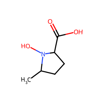 CC1CCC(C(=O)O)N1O